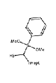 CCCCCCCC(S)[Si](OC)(OC)c1ccccc1